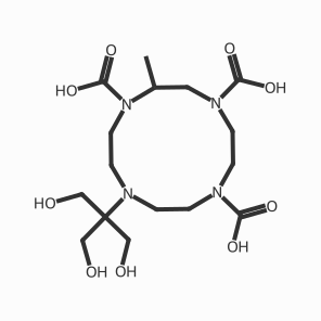 CC1CN(C(=O)O)CCN(C(=O)O)CCN(C(CO)(CO)CO)CCN1C(=O)O